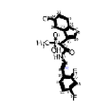 CP(=O)(O)C(C(=O)N/C=C/c1ccc(F)cc1F)c1csc2ccc(Cl)cc12